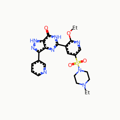 CCOc1ncc(S(=O)(=O)N2CCN(CC)CC2)cc1-c1nc2c(-c3cccnc3)n[nH]c2c(=O)[nH]1